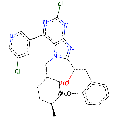 COc1ccccc1CC(O)c1nc2nc(Cl)nc(-c3cncc(Cl)c3)c2n1C[C@H]1CC[C@H](C)CC1